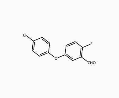 O=Cc1cc(Oc2ccc(Cl)cc2)ccc1F